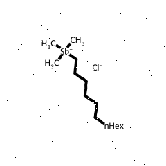 CCCCCCCCCCC[CH2][Sb+]([CH3])([CH3])[CH3].[Cl-]